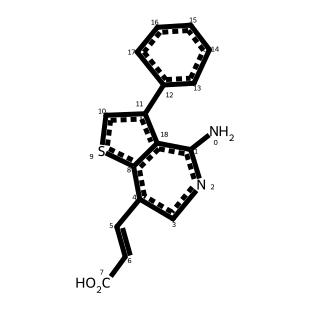 Nc1ncc(C=CC(=O)O)c2scc(-c3ccccc3)c12